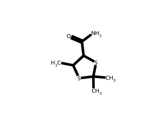 CC1SC(C)(C)SC1C(N)=O